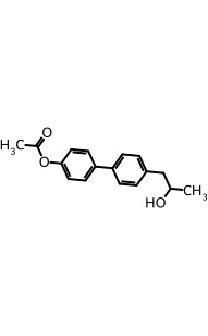 CC(=O)Oc1ccc(-c2ccc(CC(C)O)cc2)cc1